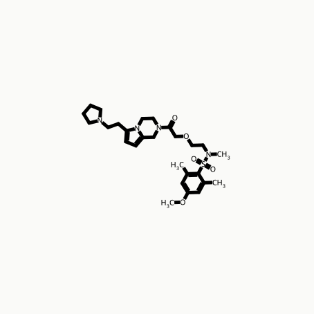 COc1cc(C)c(S(=O)(=O)N(C)CCOCC(=O)N2CCn3c(CCN4CCCC4)ccc3C2)c(C)c1